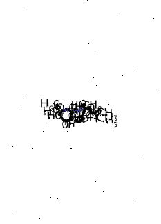 CC[C@H](OC)[C@@H](C)[C@H]1O[C@@H]1C(NCc1ccccc1O)C(C)(O)/C=C/C=C(\C)C1OC(=O)C[C@H](O)CC[C@@](C)(O)[C@@H](OC(C)=O)/C=C/[C@@H]1C